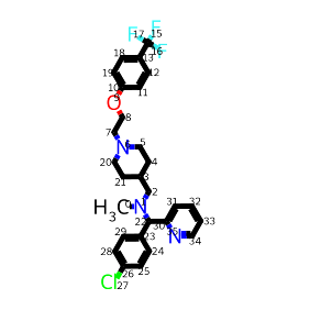 CN(CC1CCN(CCOc2ccc(C(F)(F)F)cc2)CC1)C(c1ccc(Cl)cc1)c1ccccn1